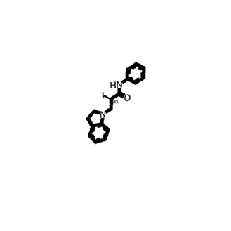 O=C(Nc1ccccc1)[C@H](I)CN1CCc2ccccc21